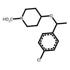 CC(OC1CCN(C(=O)O)CC1)c1ccc(Cl)cc1